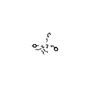 CCCCP(CCCC)(CCCC)=C(C(=O)OCc1ccc(OC)cc1)N1C(=O)[C@@H](NC(=O)Cc2ccccc2)[C@H]1CCC(=O)[C@@H]1CCCO1